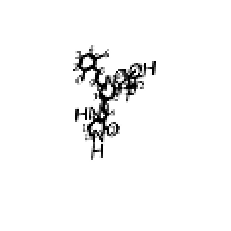 Cc1cccc(C)c1/C=C/c1cc(-c2cc3c([nH]2)CCNC3=O)ccn1.O=C(O)C(F)(F)F